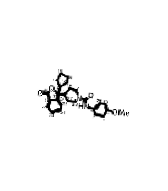 COc1ccc(NC(=O)N2CCC(C3(C4CCCC4)OC(=O)c4ccccc43)CC2)cc1